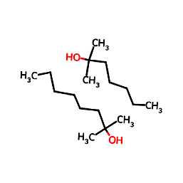 CCCCCC(C)(C)O.CCCCCCC(C)(C)O